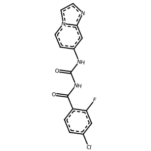 O=C(NC(=O)c1ccc(Cl)cc1F)Nc1ccn2ccnc2c1